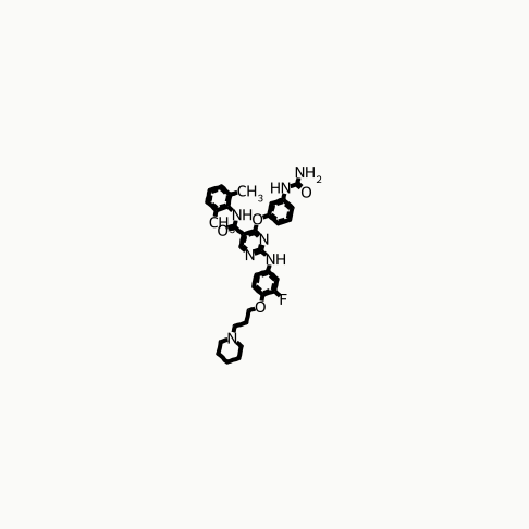 Cc1cccc(C)c1NC(=O)c1cnc(Nc2ccc(OCCCN3CCCCC3)c(F)c2)nc1Oc1cccc(NC(N)=O)c1